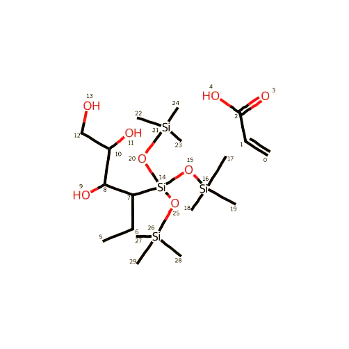 C=CC(=O)O.CCC(C(O)C(O)CO)[Si](O[Si](C)(C)C)(O[Si](C)(C)C)O[Si](C)(C)C